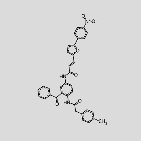 Cc1ccc(CC(=O)Nc2ccc(NC(=O)C=Cc3ccc(-c4ccc([N+](=O)[O-])cc4)o3)cc2C(=O)c2ccccc2)cc1